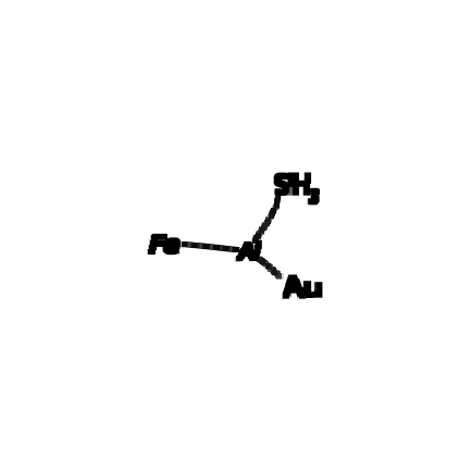 [SiH3][Al]([Fe])[Au]